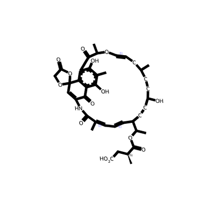 C/C1=C/C=C/C(C(C)OC(=O)[C@@H](C)CC(=O)O)CCC(O)CCC(C)C/C=C/OC(C)C(=O)c2c(O)c(C)c(O)c3c2C2(C=C(NC1=O)C3=O)OCC(=O)O2